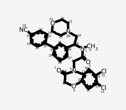 CN(C(=O)CN1C(=O)COc2cc(Cl)c(Cl)cc21)C(CN1CCOCC1)c1cccc(-c2ccc(C#N)cc2)c1